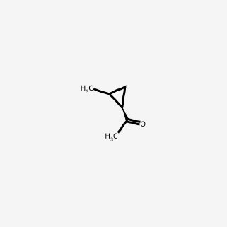 CC(=O)[C@@H]1CC1C